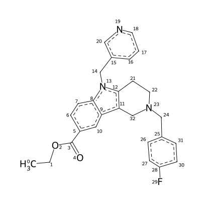 CCOC(=O)c1ccc2c(c1)c1c(n2Cc2cccnc2)CCN(Cc2ccc(F)cc2)C1